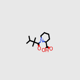 CC(C)C(C)(C)C(=O)N1CCCCC1C(=O)O